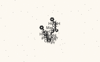 CC[C@H](C)[C@H](NC(=O)[C@@H](NC(=O)[C@H](C(C)C)N(C)C(=O)OC(OC(=O)[C@@H](NC(=O)OCc1ccccc1)C(C)C)C(C)C)C(C)C)[C@@H](CC(=O)N1CCC[C@H]1[C@H](OC)[C@@H](C)C(=O)N[C@H](C)[C@@H](O)c1ccccc1)OC